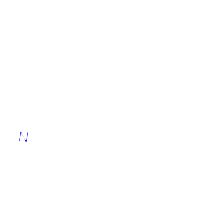 N#CC(C1=CCCC1)C1CCCC1